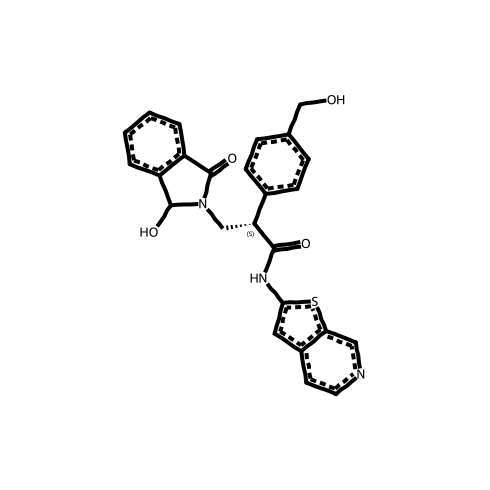 O=C(Nc1cc2ccncc2s1)[C@H](CN1C(=O)c2ccccc2C1O)c1ccc(CO)cc1